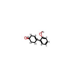 COc1ccccc1C1=CCC(=O)CC1